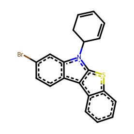 Brc1ccc2c3c4ccccc4sc3n(C3C=CC=CC3)c2c1